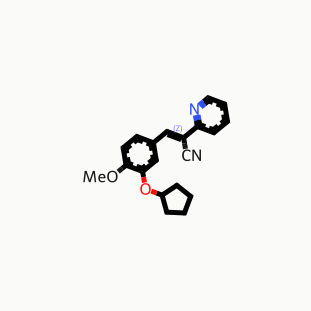 COc1ccc(/C=C(\C#N)c2ccccn2)cc1OC1CCCC1